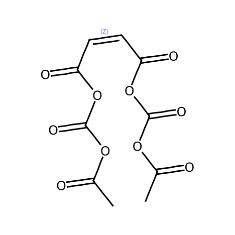 CC(=O)OC(=O)OC(=O)/C=C\C(=O)OC(=O)OC(C)=O